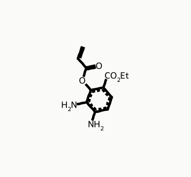 C=CC(=O)Oc1c(C(=O)OCC)ccc(N)c1N